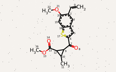 C=Cc1cc2cc(C(=O)C3C(C)C3C(=O)OC)sc2cc1OC